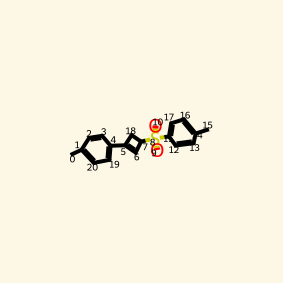 Cc1ccc(C2=CC(S(=O)(=O)c3ccc(C)cc3)C2)cc1